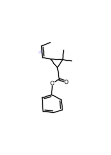 C/C=C\C1C(C(=O)Oc2ccccc2)C1(C)C